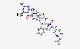 Cc1cc(C#N)nc(C)c1C(=O)N1CCC(C)(N2CCC(N3C(=O)N(CC4CCN(CC(F)F)CC4)C[C@H]3c3ccccc3)CC2)CC1